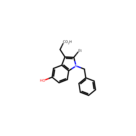 CCc1c(CC(=O)O)c2cc(O)ccc2n1Cc1ccccc1